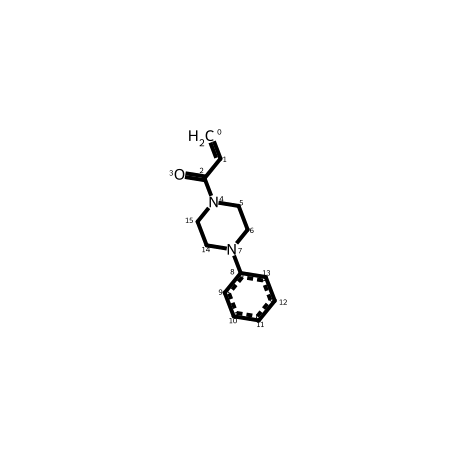 C=CC(=O)N1CCN(c2ccccc2)CC1